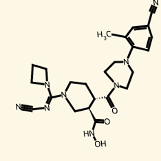 Cc1cc(C#N)ccc1N1CCN(C(=O)[C@H]2CCN(C(=NC#N)N3CCC3)C[C@@H]2C(=O)NO)CC1